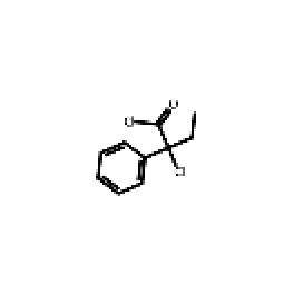 CCC(Cl)(C(=O)Cl)c1ccccc1